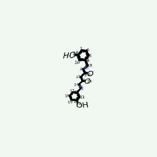 O=C(/C=C/c1cccc(O)c1)CC(=O)/C=C/c1cccc(O)c1